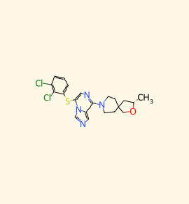 C[C@H]1CC2(CCN(c3ncc(Sc4cccc(Cl)c4Cl)n4cncc34)CC2)CO1